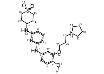 COc1ccc(Nc2nccc(NC3CCS(=O)(=O)CC3)n2)cc1OCCCN1CCCC1